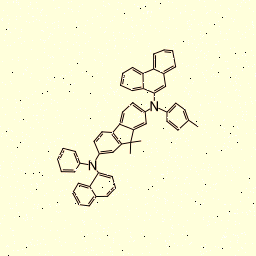 Cc1ccc(N(c2ccc3c(c2)C(C)(C)c2cc(N(c4ccccc4)c4cccc5ccccc45)ccc2-3)c2cc3ccccc3c3ccccc23)cc1